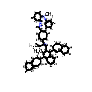 C=C/C(=C\c1c(C)c(C2=CC=c3ccccc3=CC2)c2ccccc2c1C1=Cc2ccccc2C=CC1)C1=CCC=C(/C=N/c2ccccc2N(C)c2ccccc2)C=C1